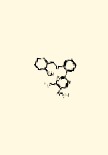 Cc1nc(-c2ccccc2OCC2CCCCC2C#N)ncc1C(=O)O